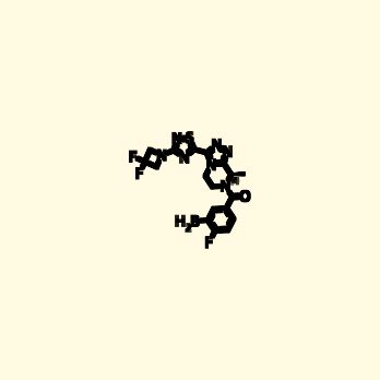 Bc1cc(C(=O)N2CCn3c(-c4nc(N5CC(F)(F)C5)ns4)nnc3[C@H]2C)ccc1F